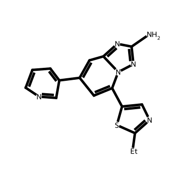 CCc1ncc(-c2cc(-c3cccnc3)cc3nc(N)nn23)s1